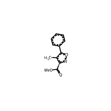 COC(=O)c1noc(-c2ccccc2)c1C